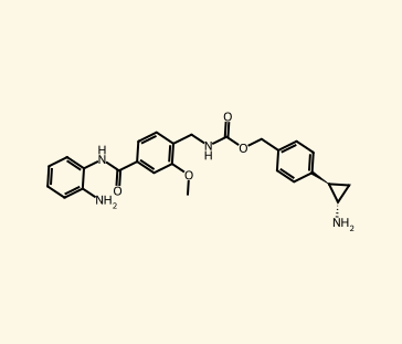 COc1cc(C(=O)Nc2ccccc2N)ccc1CNC(=O)OCc1ccc([C@H]2C[C@@H]2N)cc1